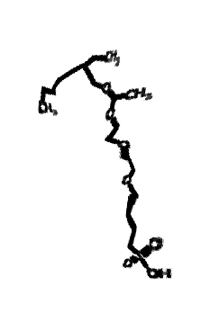 CCCCC(CC)COC(C)OCCOCCOCCCCS(=O)(=O)O